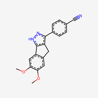 COc1cc2c(cc1OC)-c1[nH]nc(-c3ccc(C#N)cc3)c1C2